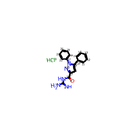 Cl.N=C(N)NC(=O)c1cc(-c2ccccc2)n(-c2ccccc2)n1